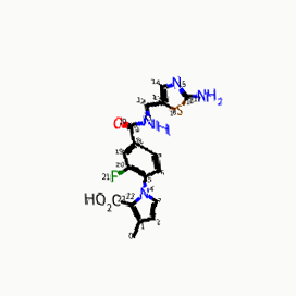 Cc1ccn(-c2ccc(C(=O)NCc3cnc(N)s3)[c]c2F)c1C(=O)O